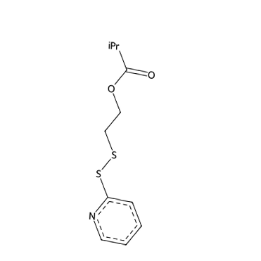 CC(C)C(=O)OCCSSc1ccccn1